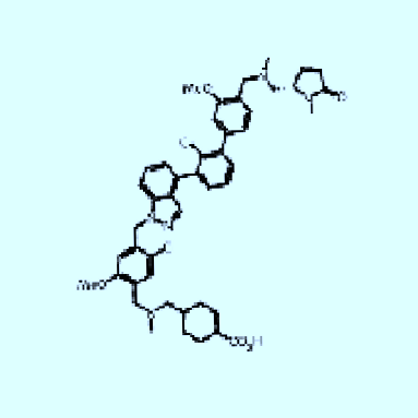 COc1cc(Cn2ncc3c(-c4cccc(-c5ccc(CN(C)C[C@@H]6CCC(=O)N6)c(OC)c5)c4Cl)cccc32)c(Cl)cc1CN(C)CC1CCC(C(=O)O)CC1